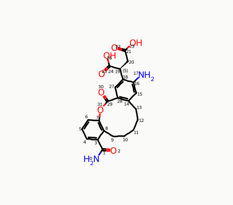 NC(=O)c1cccc2c1CCCCCc1cc(N)c([C@H](CC(=O)O)C(=O)O)cc1C(=O)O2